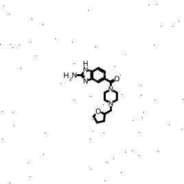 Nc1nc2cc(C(=O)N3CCN(CC4CCCO4)CC3)ccc2[nH]1